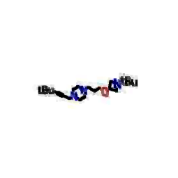 CC(C)(C)C#CCN1CCN(CCCOC2CN(C(C)(C)C)C2)CC1